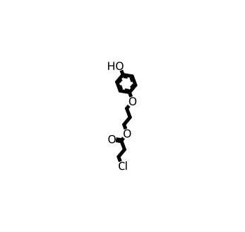 O=C(CCCl)OCCCOc1ccc(O)cc1